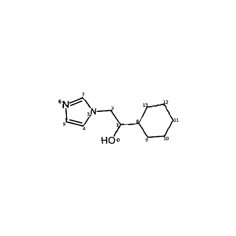 OC(Cn1ccnc1)C1CCCCC1